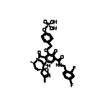 CC1=NO[C@@]2(CC[C@H](C)N3C[C@H]2n2cc(C(=O)NCc4ccc(F)cc4F)c(=O)c(OCc4ccc(OP(=O)(O)O)cc4)c2C3=O)C1